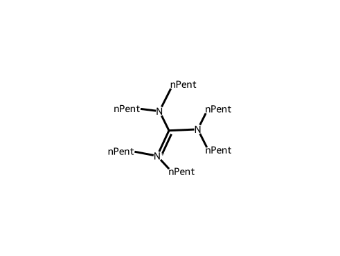 CCCCCN(CCCCC)C(N(CCCCC)CCCCC)=[N+](CCCCC)CCCCC